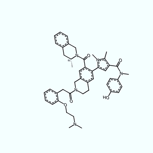 Cc1c(C(=O)N(C)c2ccc(O)cc2)cc(-c2cc3c(cc2C(=O)N2Cc4ccccc4C[C@H]2C)CN(C(=O)Cc2ccccc2OCCN(C)C)CC3)n1C